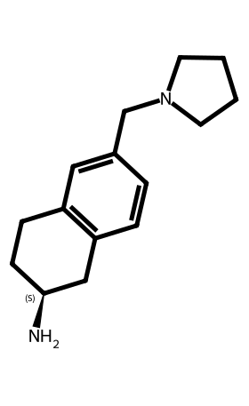 N[C@H]1CCc2cc(CN3CCCC3)ccc2C1